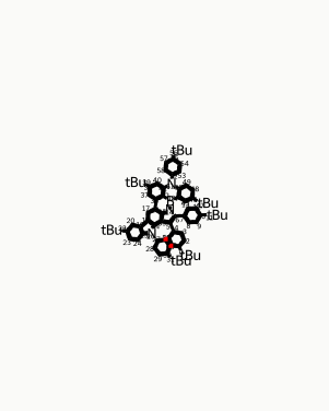 CC(C)(C)c1ccc(-c2c(-c3ccc(C(C)(C)C)cc3)n3c4c(cc5c6cc(C(C)(C)C)ccc6n(-c6ccc(C(C)(C)C)cc6)c5c24)-c2cc(C(C)(C)C)cc4c2B3c2cc(C(C)(C)C)ccc2N4c2ccc(C(C)(C)C)cc2)cc1